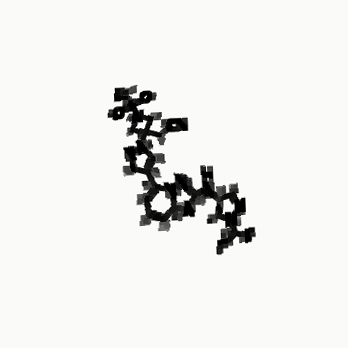 CCS(=O)(=O)N1CC(CC#N)(n2cc(-c3cccc4nc(Nc5cnn(C(F)F)c5)nn34)cn2)C1